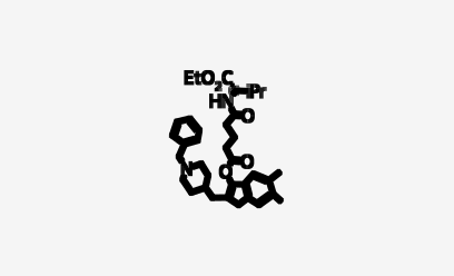 CCOC(=O)[C@@H](NC(=O)CCCC(=O)OC1=C(CC2CCN(Cc3ccccc3)CC2)Cc2cc(C)c(C)cc21)C(C)C